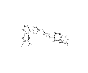 COc1nc2c(N3CCN(CCNCc4ccc5c(n4)NC(=O)CO5)CC3)ccnc2cc1F